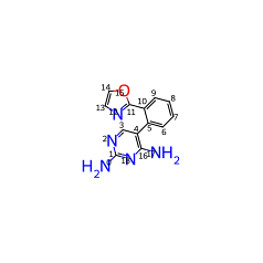 Nc1ncc(-c2ccccc2-c2ncco2)c(N)n1